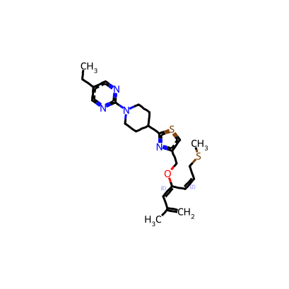 C=C(C)/C=C(\C=C/CSC)OCc1csc(C2CCN(c3ncc(CC)cn3)CC2)n1